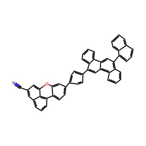 N#Cc1cc2c3c(cccc3c1)-c1ccc(-c3ccc(-c4cc5c6ccccc6c(-c6cccc7ccccc67)cc5c5ccccc45)cc3)cc1O2